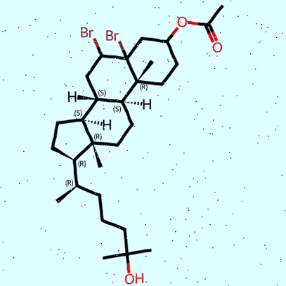 CC(=O)OC1CC[C@]2(C)[C@H]3CC[C@]4(C)[C@@H]([C@H](C)CCCC(C)(C)O)CC[C@H]4[C@@H]3CC(Br)C2(Br)C1